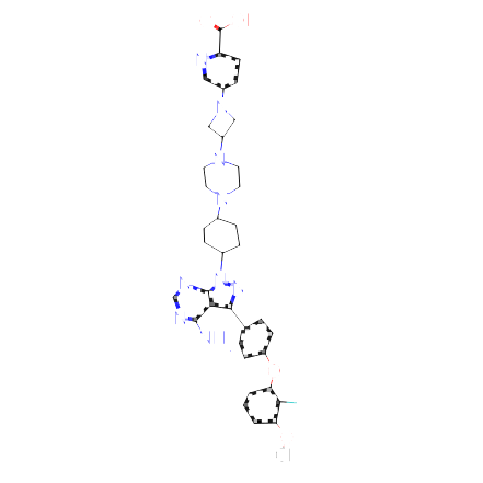 COc1cccc(Oc2ccc(-c3nn(C4CCC(N5CCN(C6CN(c7ccc(C(=O)O)nc7)C6)CC5)CC4)c4ncnc(N)c34)cc2)c1F